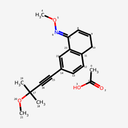 CC(=O)O.CON=C1C=CCc2ccc(C#CC(C)(C)OC)cc21